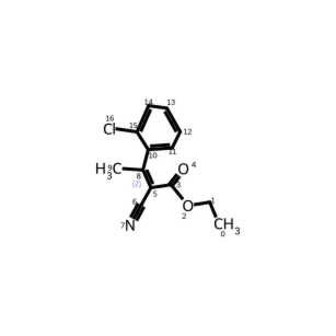 CCOC(=O)/C(C#N)=C(/C)c1ccccc1Cl